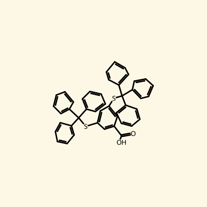 O=C(O)c1cc(SC(c2ccccc2)(c2ccccc2)c2ccccc2)cc(SC(c2ccccc2)(c2ccccc2)c2ccccc2)c1